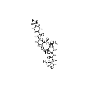 CN1C(=O)c2cc(NC(=O)c3ccc(C(F)(F)F)cc3)ccc2OC[C@@H]2O[C@H](CC(=O)NC3(C)COC3)CC[C@@H]21